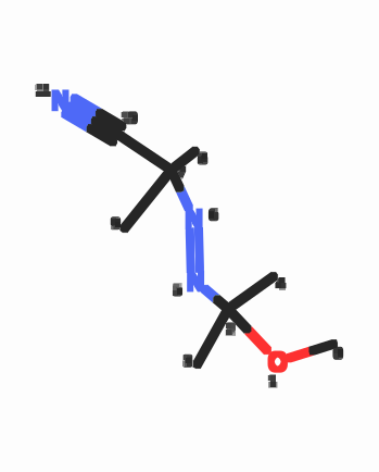 COC(C)(C)N=NC(C)(C)C#N